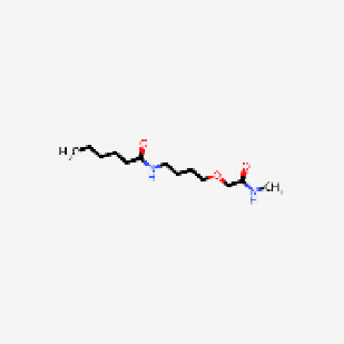 CCCCCC(=O)NCCCCOCC(=O)NC